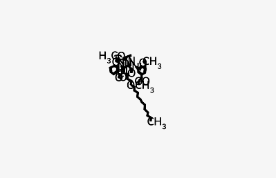 CCCCCCCCCCCCOCCCN1C(C(C(=O)Nc2cc(C(=O)OC)ccc2OC)n2nccc2NS(C)(=O)=O)=Nc2ccccc2S1(=O)=O